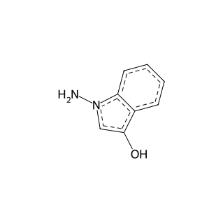 Nn1cc(O)c2ccccc21